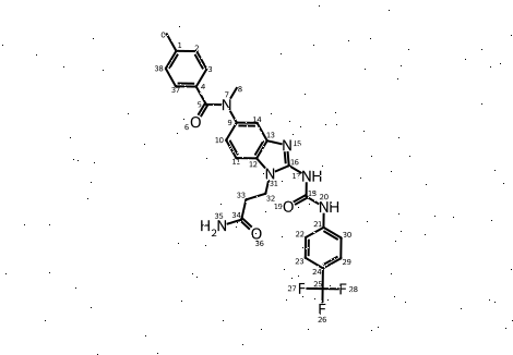 Cc1ccc(C(=O)N(C)c2ccc3c(c2)nc(NC(=O)Nc2ccc(C(F)(F)F)cc2)n3CCC(N)=O)cc1